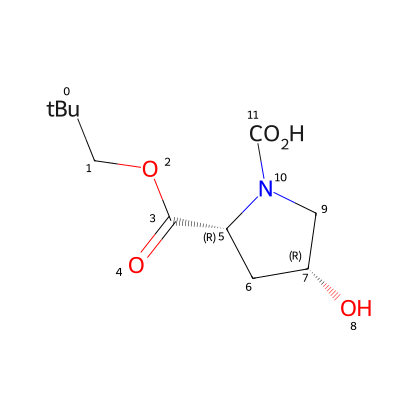 CC(C)(C)COC(=O)[C@H]1C[C@@H](O)CN1C(=O)O